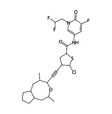 CC1CC2CCCC2CC(C)C(C#CC2CC(C(=O)Nc3cc(F)c(=O)n(CC(F)F)c3)SC2Cl)O1